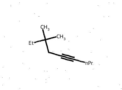 [CH2]CCC#CCC(C)(C)CC